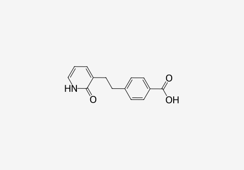 O=C(O)c1ccc(CCc2ccc[nH]c2=O)cc1